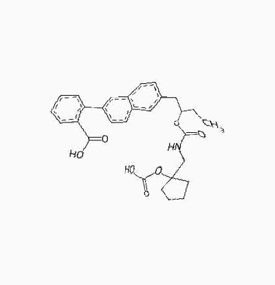 CCC(Cc1ccc2cc(-c3ccccc3C(=O)O)ccc2c1)OC(=O)NCC1(OC(=O)O)CCCC1